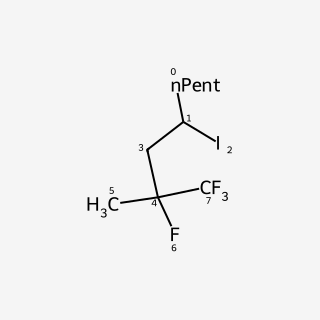 CCCCCC(I)CC(C)(F)C(F)(F)F